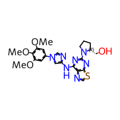 COc1cc(-n2cnc(Nc3nc(N4CCC[C@@H]4CO)nc4scnc34)c2)cc(OC)c1OC